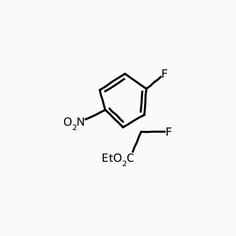 CCOC(=O)CF.O=[N+]([O-])c1ccc(F)cc1